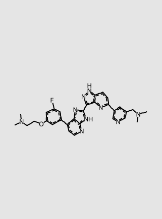 CN(C)CCOc1cc(F)cc(-c2ccnc3[nH]c(-c4n[nH]c5ccc(-c6cncc(CN(C)C)c6)nc45)nc23)c1